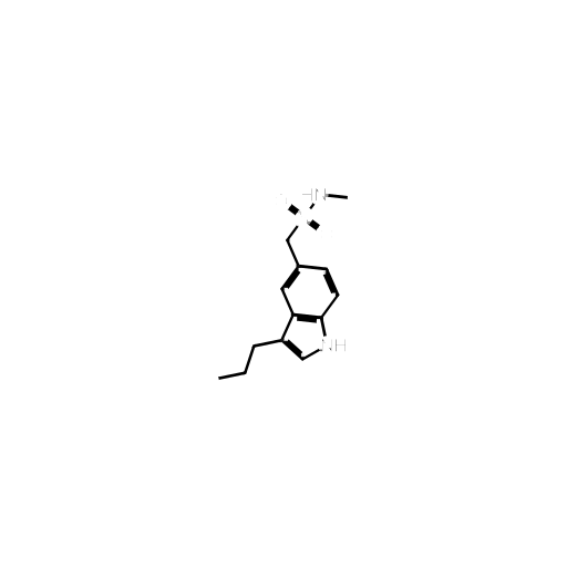 CCCc1c[nH]c2ccc(CS(=O)(=O)NC)cc12